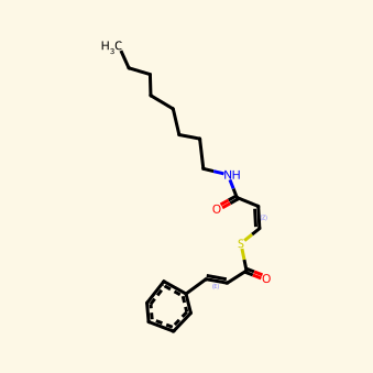 CCCCCCCCNC(=O)/C=C\SC(=O)/C=C/c1ccccc1